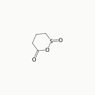 O=C1CCCS(=O)O1